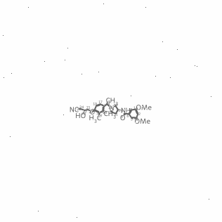 COc1cc(OC)cc(C(=O)N[C@@H]2CCN(C(C)c3ccc(OC[C@H](O)CC#N)c(C)c3C)C2)c1